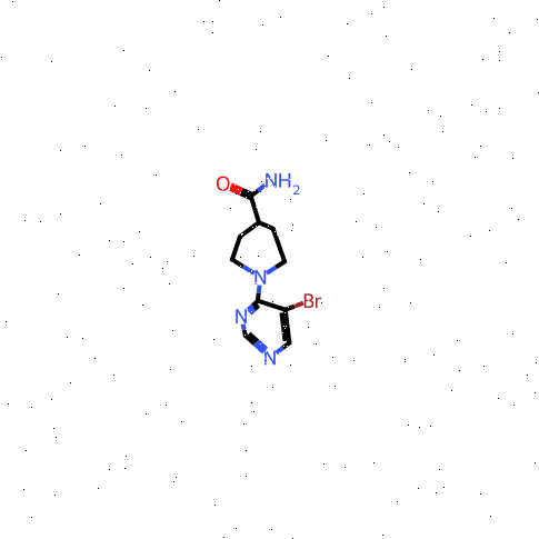 NC(=O)C1CCN(c2ncncc2Br)CC1